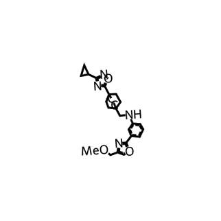 COCc1coc(-c2cccc(NCC34CCC(c5nc(C6CC6)no5)(CC3)CC4)c2)n1